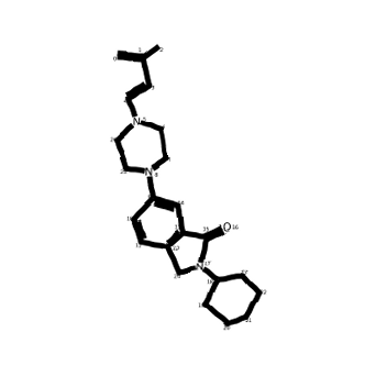 C=C(C)C=CN1CCN(c2ccc3c(c2)C(=O)N(C2CCCCC2)C3)CC1